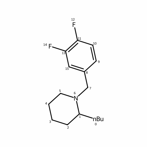 CCCCC1CCCCN1Cc1ccc(F)c(F)c1